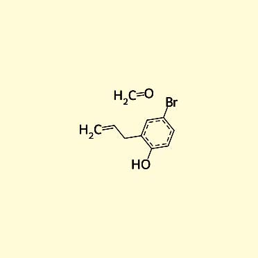 C=CCc1cc(Br)ccc1O.C=O